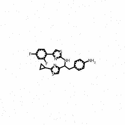 Nc1ccc(CC(Nc2nc(-c3ccc(F)cc3F)cs2)c2csc(C3CC3)n2)cc1